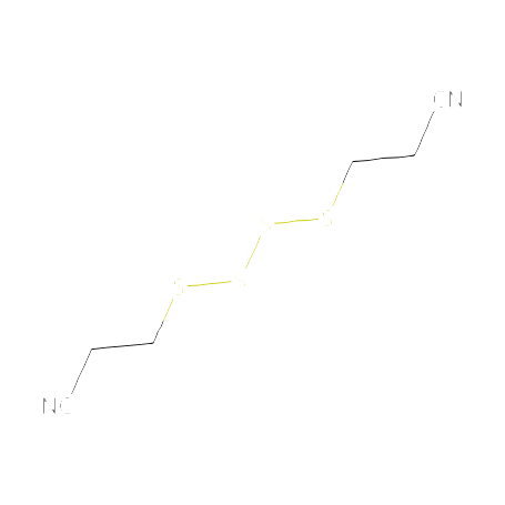 N#CCCSSSSCCC#N